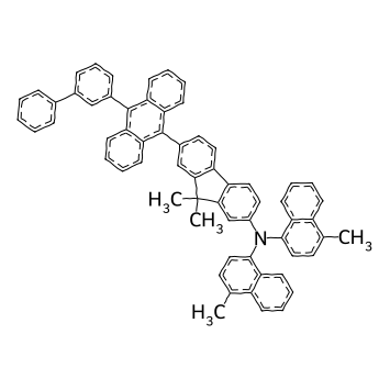 Cc1ccc(N(c2ccc3c(c2)C(C)(C)c2cc(-c4c5ccccc5c(-c5cccc(-c6ccccc6)c5)c5ccccc45)ccc2-3)c2ccc(C)c3ccccc23)c2ccccc12